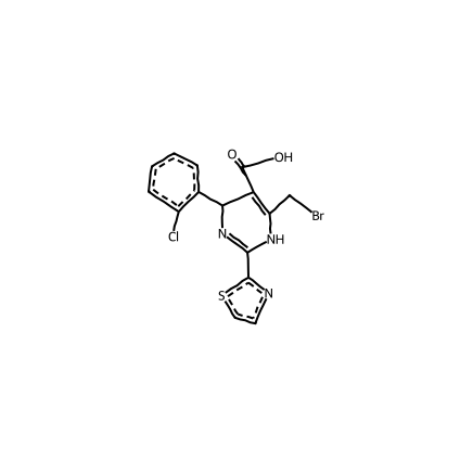 O=C(O)C1=C(CBr)NC(c2nccs2)=NC1c1ccccc1Cl